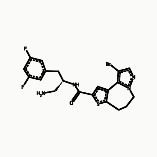 NC[C@H](Cc1cc(F)cc(F)c1)NC(=O)c1cc2c(s1)CCCn1ncc(Br)c1-2